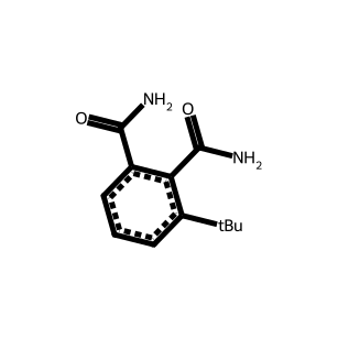 CC(C)(C)c1cccc(C(N)=O)c1C(N)=O